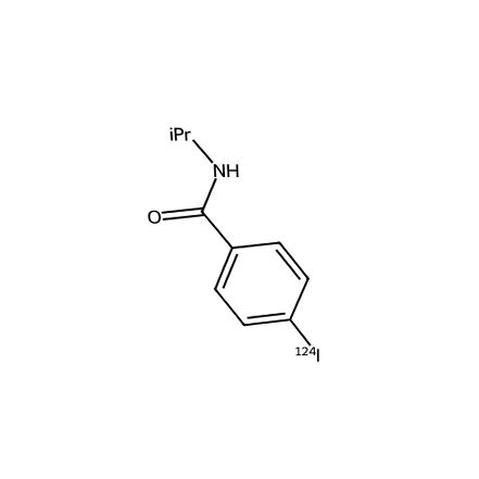 CC(C)NC(=O)c1ccc([124I])cc1